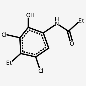 CCC(=O)Nc1cc(Cl)c(CC)c(Cl)c1O